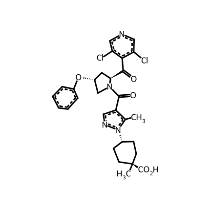 Cc1c(C(=O)N2C[C@H](Oc3ccccc3)C[C@H]2C(=O)c2c(Cl)cncc2Cl)cnn1[C@H]1CC[C@](C)(C(=O)O)CC1